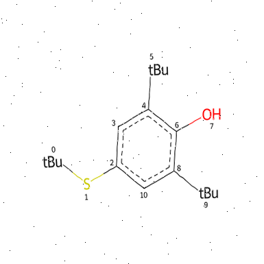 CC(C)(C)Sc1cc(C(C)(C)C)c(O)c(C(C)(C)C)c1